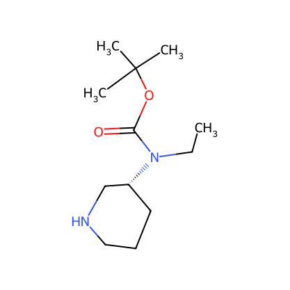 CCN(C(=O)OC(C)(C)C)[C@@H]1CCCNC1